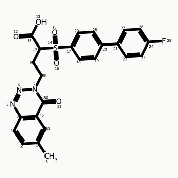 Cc1ccc2nnn(CCC(C(=O)O)S(=O)(=O)c3ccc(-c4ccc(F)cc4)cc3)c(=O)c2c1